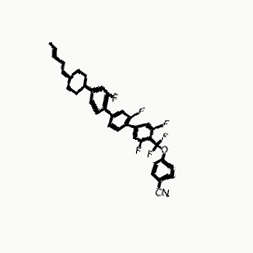 C/C=C/CCC1CCC(c2ccc(-c3ccc(-c4cc(F)c(C(F)(F)Oc5ccc(C#N)cc5)c(F)c4)c(F)c3)c(F)c2)CC1